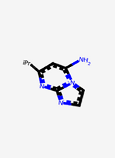 CC(C)c1cc(N)n2ccnc2n1